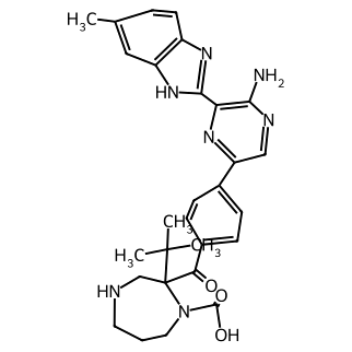 Cc1ccc2nc(-c3nc(-c4ccc(C(=O)C5(C(C)(C)C)CNCCCN5C(=O)O)cc4)cnc3N)[nH]c2c1